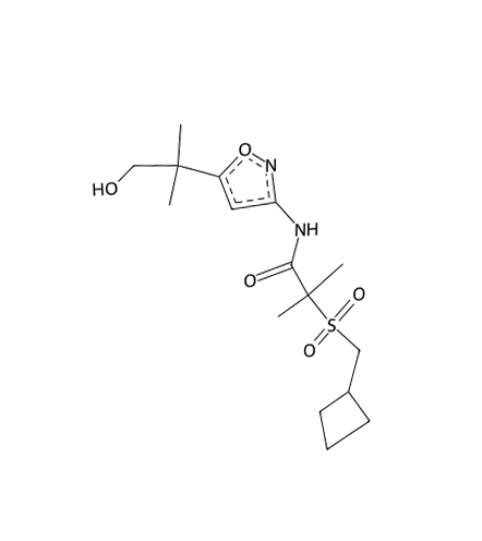 CC(C)(CO)c1cc(NC(=O)C(C)(C)S(=O)(=O)CC2CCC2)no1